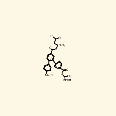 CCCCC[C@@H](C)OC(=O)c1ccc(-c2cc(C(=O)O[C@H](C)CC(CC)CC)ccc2-c2ccc(C(=O)O)cc2)cc1